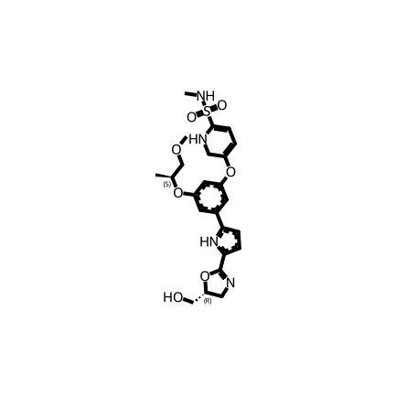 CNS(=O)(=O)C1=CC=C(Oc2cc(O[C@@H](C)COC)cc(-c3ccc(C4=NC[C@H](CO)O4)[nH]3)c2)CN1